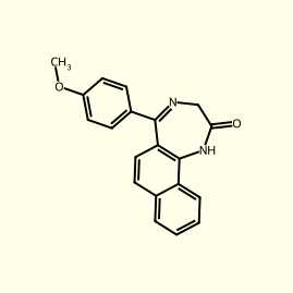 COc1ccc(C2=NCC(=O)Nc3c2ccc2ccccc32)cc1